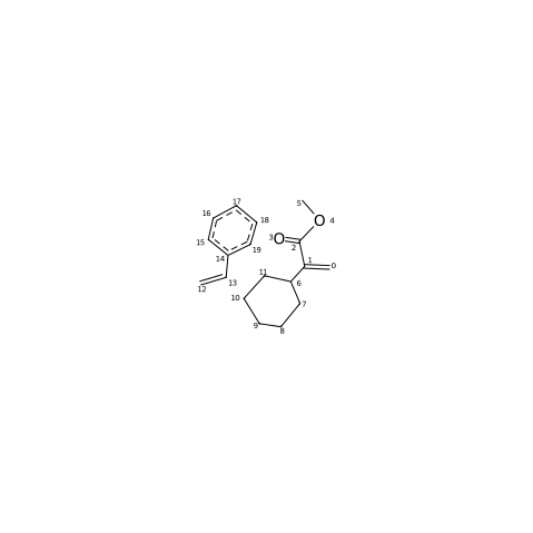 C=C(C(=O)OC)C1CCCCC1.C=Cc1ccccc1